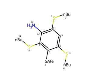 CCCCSc1cc(SCCCC)c(SC)c(SCCCC)c1N